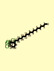 CCCCCCCCCCCCCCCCCCC1CCC[Si](Cl)(Cl)C1(Cl)Cl